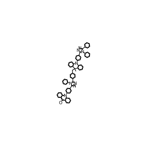 CC1(Cc2ccc(-c3nnc(-c4ccc(-n5c6ccccc6c(=O)c6ccccc65)cc4)n3-c3ccccc3)cc2)c2ccccc2N(c2ccc(-c3nnc(-c4ccccc4)n3-c3ccccc3)cc2)c2ccccc21